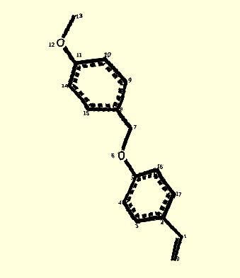 C=Cc1ccc(OCc2ccc(OC)cc2)cc1